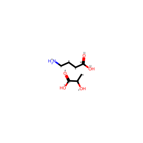 CC(O)C(=O)O.NCCCC(=O)O